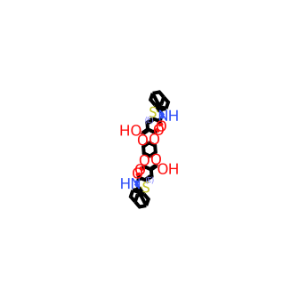 O=C1OC2(CCC3(CC2)OC(=O)C(/C=C2/SC4(NC2=O)C2CC5CC(C2)CC4C5)=C(O)O3)OC(O)=C1/C=C1/SC2(NC1=O)C1CC3CC(C1)CC2C3